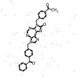 CC(=O)c1ccc(Cn2c3ncnc4c(ncn4Cc4ccc(C(=O)c5ccccc5)cc4)c-3nc2=O)cc1